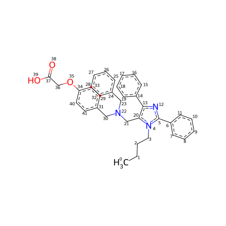 CCCCn1c(-c2ccccc2)nc(-c2ccccc2)c1CN(Cc1ccccc1)Cc1ccc(OCC(=O)O)cc1